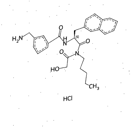 CCCCCN(C(=O)CO)C(=O)[C@H](Cc1ccc2ccccc2c1)NC(=O)c1cccc(CN)c1.Cl